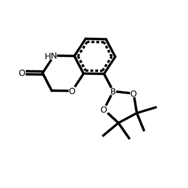 CC1(C)OB(c2cccc3c2OCC(=O)N3)OC1(C)C